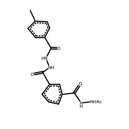 CC(=O)NNC(=O)c1cccc(C(=O)NNC(=O)c2ccc(C)cc2)c1